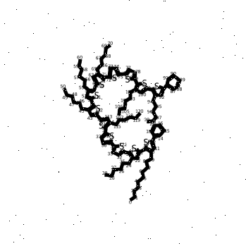 CCCCCCCCCCc1cc(-c2ccccc2)sc1-c1cc(CCCCCC)c(-c2ccc(-c3ccc(-c4sc(-c5cc(CCCCCC)c(-c6cc(CCCCCC)c(-c7cc(CCCCCC)c(-c8ccc(-c9ccc(-c%10sc(-c%11sc(-c%12ccccc%12)cc%11CCCCCC)cc%10CCCCCC)s9)s8)s7)s6)s5)cc4CCCCCC)s3)s2)s1